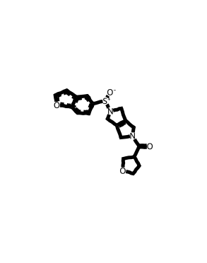 O=C(C1CCOC1)N1CC2=C(C1)CN([S+]([O-])c1ccc3occc3c1)C2